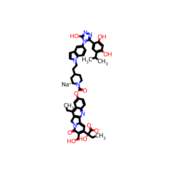 CCc1c2c(nc3ccc(OC(=O)N4CCC(CCn5ccc6cc(-n7c(O)nnc7-c7cc(C(C)C)c(O)cc7O)ccc65)CC4)cc13)-c1cc([C@@](O)(CC)C(=O)[O-])c(CO)c(=O)n1C2.[Na+]